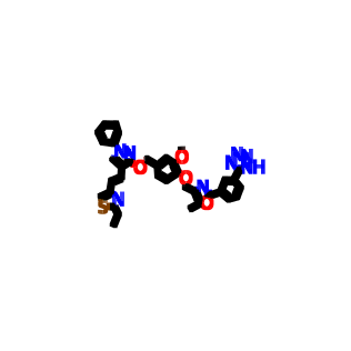 CCc1nc(C=Cc2cn(-c3ccccc3)nc2OCc2ccc(OCc3nc(-c4cccc(-c5nnn[nH]5)c4)oc3C)c(OC)c2)cs1